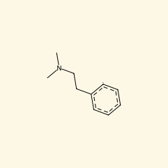 CN(C)CCc1[c]cccc1